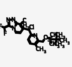 Cc1ccc(C(Cl)c2ccn3c(C(F)F)nnc3c2C)nc1CO[Si](C)(C)C(C)(C)C